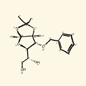 CC1(C)O[C@H]2O[C@H]([C@H](O)CO)[C@@H](OCc3ccccc3)[C@H]2O1